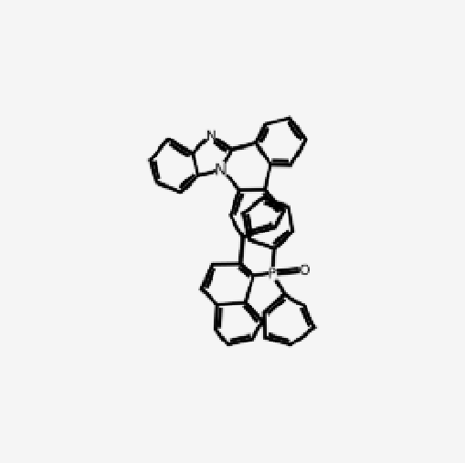 O=P(c1ccccc1)(c1ccccc1)c1c(-c2ccc3c4ccccc4c4nc5ccccc5n4c3c2)ccc2ccccc12